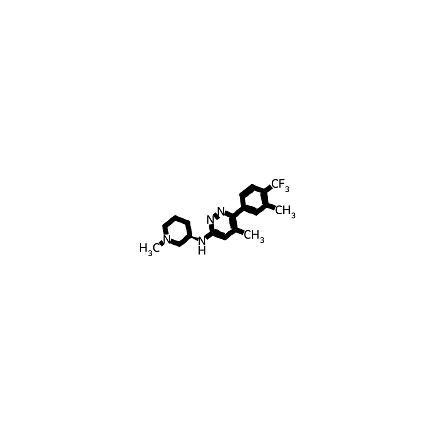 Cc1cc(-c2nnc(N[C@@H]3CCCN(C)C3)cc2C)ccc1C(F)(F)F